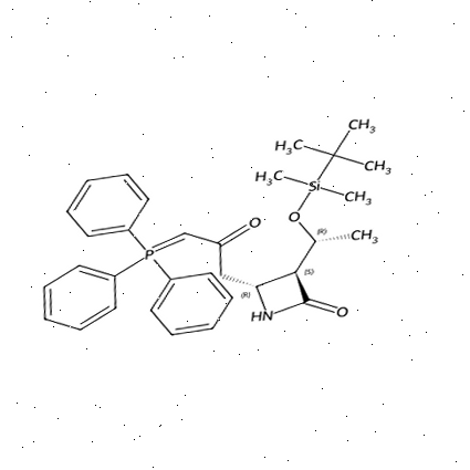 C[C@@H](O[Si](C)(C)C(C)(C)C)[C@H]1C(=O)N[C@@H]1CC(=O)C=P(c1ccccc1)(c1ccccc1)c1ccccc1